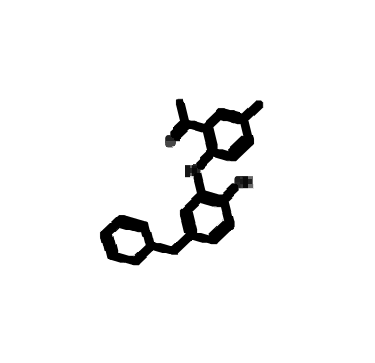 CC(=O)c1cc(C)ccc1Pc1cc(CC2C=CC=CC2)ccc1O